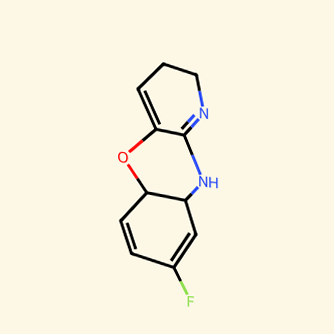 FC1=CC2NC3=NCCC=C3OC2C=C1